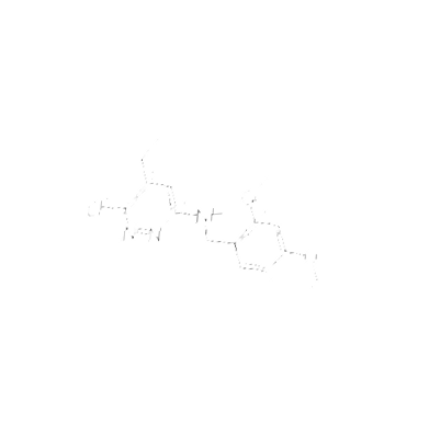 CCc1cc(NCc2ccc(OC)cc2OC)nnc1Cl